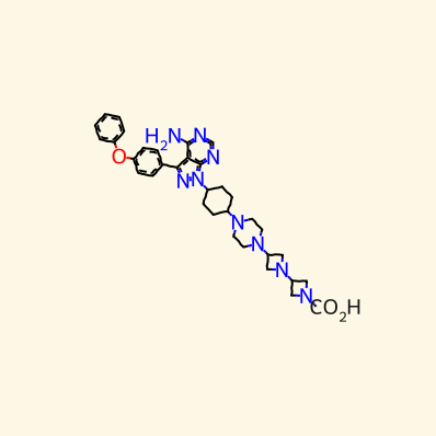 Nc1ncnc2c1c(-c1ccc(Oc3ccccc3)cc1)nn2C1CCC(N2CCN(C3CN(C4CN(C(=O)O)C4)C3)CC2)CC1